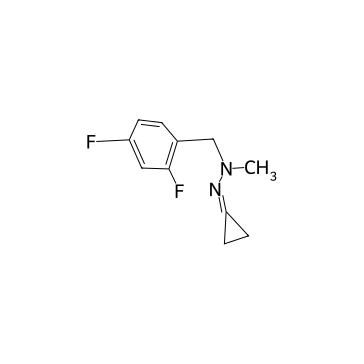 CN(Cc1ccc(F)cc1F)N=C1CC1